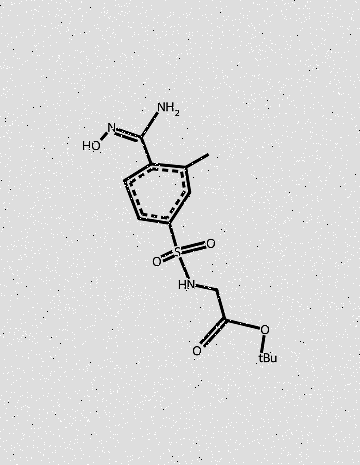 Cc1cc(S(=O)(=O)NCC(=O)OC(C)(C)C)ccc1/C(N)=N\O